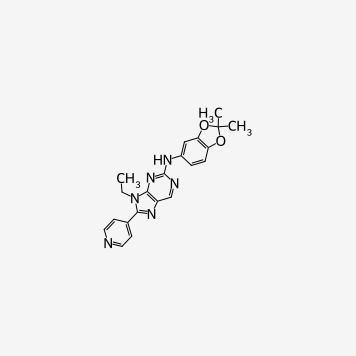 CCn1c(-c2ccncc2)nc2cnc(Nc3ccc4c(c3)OC(C)(C)O4)nc21